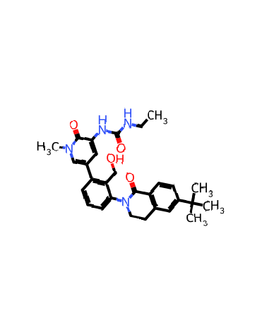 CCNC(=O)Nc1cc(-c2cccc(N3CCc4cc(C(C)(C)C)ccc4C3=O)c2CO)cn(C)c1=O